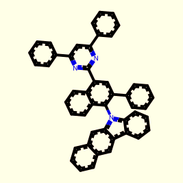 c1ccc(-c2cc(-c3ccccc3)nc(-c3cc(-c4ccccc4)c(-n4c5ccccc5c5cc6ccccc6cc54)c4ccccc34)n2)cc1